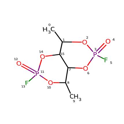 CC1OP(=O)(F)OC2C(C)OP(=O)(F)OC12